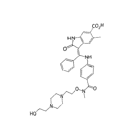 Cc1cc2c(cc1C(=O)O)NC(=O)C2=C(Nc1ccc(C(=O)N(C)OCCN2CCN(CCO)CC2)cc1)c1ccccc1